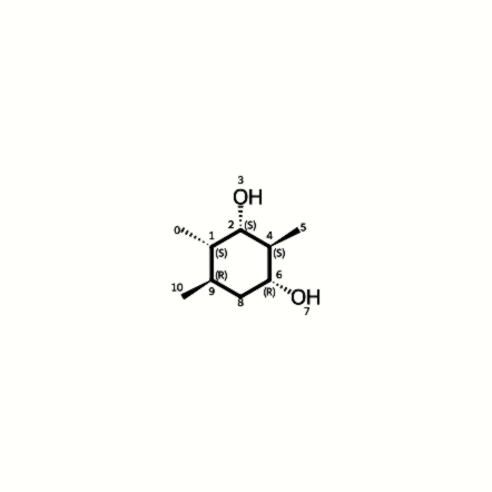 C[C@@H]1[C@H](O)[C@@H](C)[C@H](O)C[C@H]1C